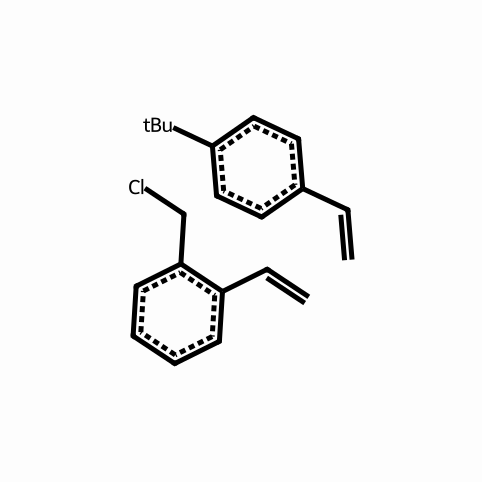 C=Cc1ccc(C(C)(C)C)cc1.C=Cc1ccccc1CCl